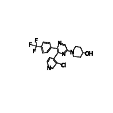 OC1CCN(c2cnc(-c3ccc(C(F)(F)F)cc3)c(-c3ccncc3Cl)n2)CC1